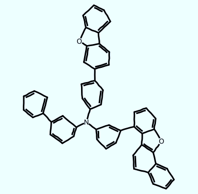 c1ccc(-c2cccc(N(c3ccc(-c4ccc5c(c4)oc4ccccc45)cc3)c3cccc(-c4cccc5oc6c7ccccc7ccc6c45)c3)c2)cc1